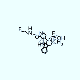 C[C@@H]1Cc2c([nH]c3ccccc23)C(c2ccnc(OCCNCCCF)c2Cl)N1CC(F)(F)CO